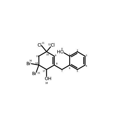 Oc1ccccc1CC1=CC(Cl)(Cl)CC(Br)(Br)C1O